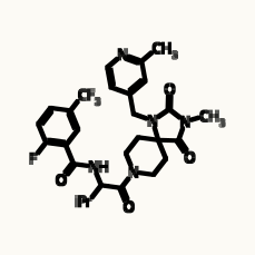 Cc1cc(CN2C(=O)N(C)C(=O)C23CCN(C(=O)C(NC(=O)c2cc(C(F)(F)F)ccc2F)C(C)C)CC3)ccn1